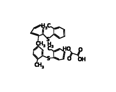 Cc1ccccc1Sc1ccccc1C.Cc1ccccc1Sc1ccccc1C.O=C(O)C(=O)O